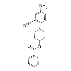 N#Cc1cc(N)ccc1N1CCC(OC(=O)c2ccccc2)CC1